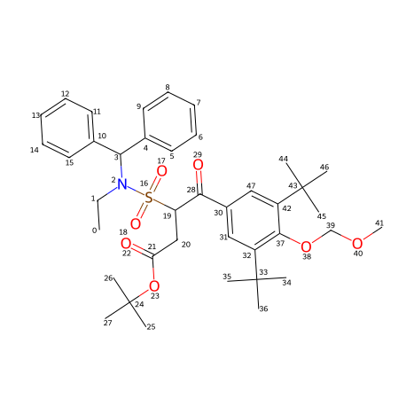 CCN(C(c1ccccc1)c1ccccc1)S(=O)(=O)C(CC(=O)OC(C)(C)C)C(=O)c1cc(C(C)(C)C)c(OCOC)c(C(C)(C)C)c1